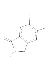 CCN1Cc2cc(C)c(N)cc2C1=O